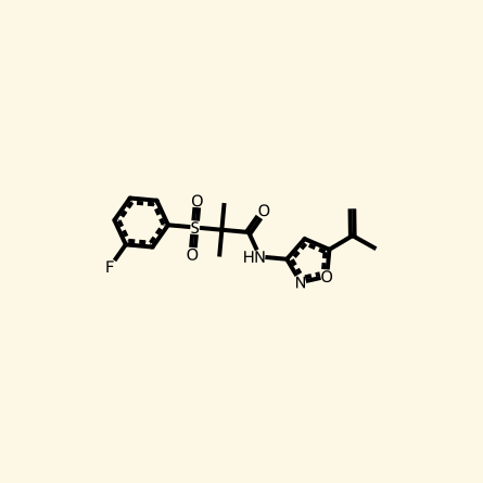 C=C(C)c1cc(NC(=O)C(C)(C)S(=O)(=O)c2cccc(F)c2)no1